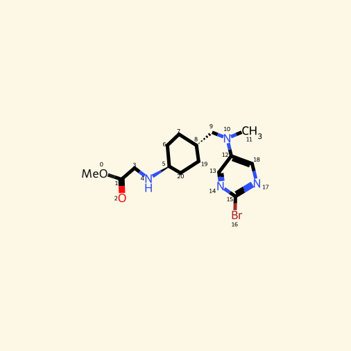 COC(=O)CN[C@H]1CC[C@H](CN(C)c2cnc(Br)nc2)CC1